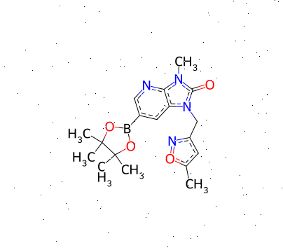 Cc1cc(Cn2c(=O)n(C)c3ncc(B4OC(C)(C)C(C)(C)O4)cc32)no1